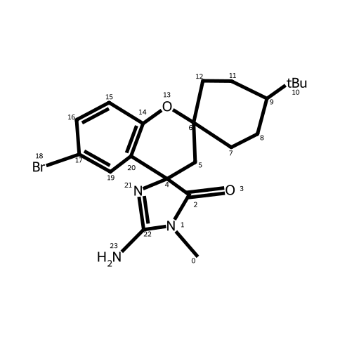 CN1C(=O)C2(CC3(CCC(C(C)(C)C)CC3)Oc3ccc(Br)cc32)N=C1N